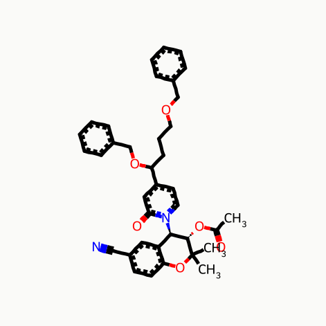 CC(=O)O[C@H]1[C@H](n2ccc(C(CCCOCc3ccccc3)OCc3ccccc3)cc2=O)c2cc(C#N)ccc2OC1(C)C